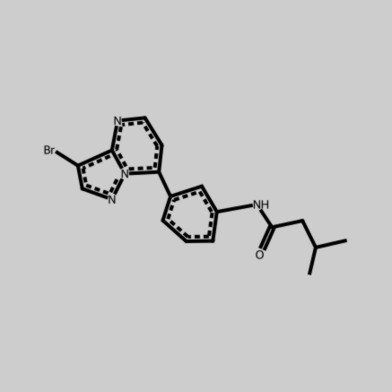 CC(C)CC(=O)Nc1cccc(-c2ccnc3c(Br)cnn23)c1